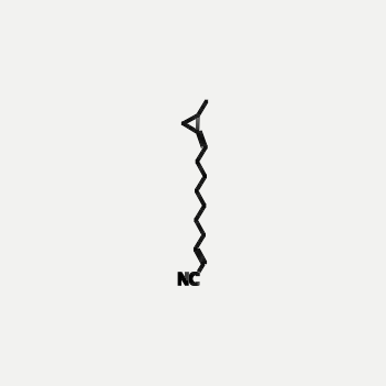 CC1CC1=CCCCCCCC=CC#N